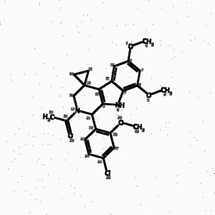 COc1cc(OC)c2[nH]c3c(c2c1)C1(CC1)CN(C(C)=O)C3c1ccc(Cl)cc1OC